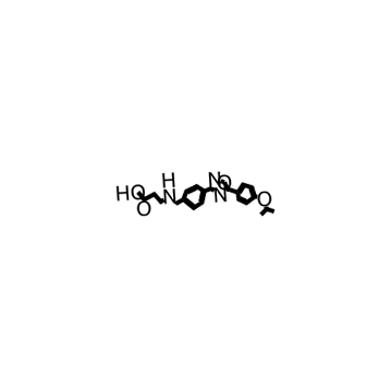 CC(C)Oc1ccc(-c2nc(-c3ccc(CNCCC(=O)O)cc3)no2)cc1